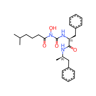 CC(C)CCCC(=O)N(O)C(=O)N[C@@H](Cc1ccccc1)C(=O)N[C@H](C)Cc1ccccc1